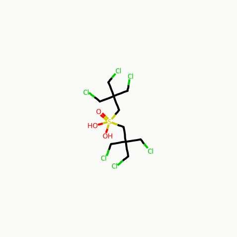 O=S(O)(O)(CC(CCl)(CCl)CCl)CC(CCl)(CCl)CCl